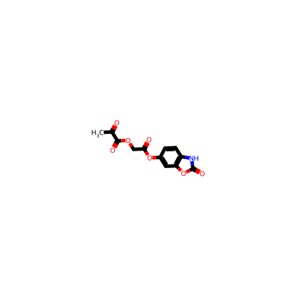 CC(=O)C(=O)OCC(=O)Oc1ccc2[nH]c(=O)oc2c1